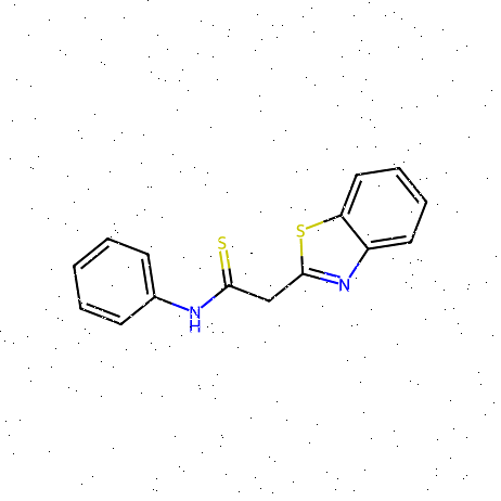 S=C(Cc1nc2ccccc2s1)Nc1ccccc1